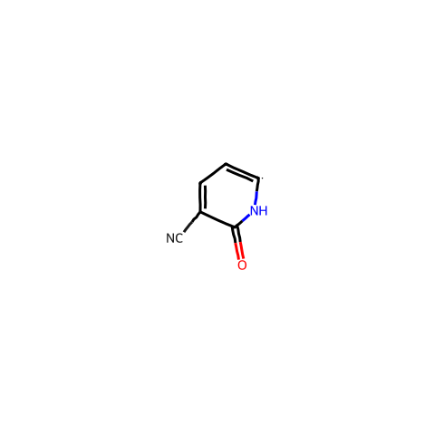 N#Cc1cc[c][nH]c1=O